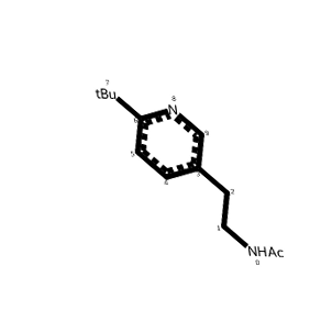 CC(=O)NCCc1ccc(C(C)(C)C)nc1